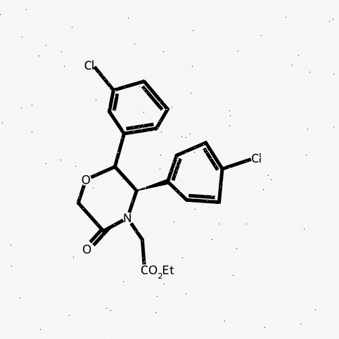 CCOC(=O)CN1C(=O)COC(c2cccc(Cl)c2)[C@H]1c1ccc(Cl)cc1